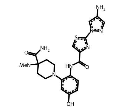 CNC1(C(N)=O)CCN(c2cc(O)ccc2NC(=O)c2csc(-n3cc(N)cn3)n2)CC1